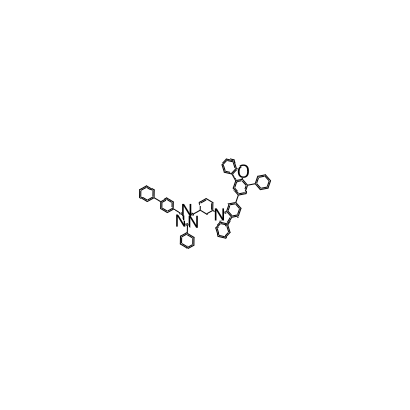 C1=CC(c2nc(-c3ccccc3)nc(-c3ccc(-c4ccccc4)cc3)n2)CC(n2c3ccccc3c3ccc(-c4cc(-c5ccccc5)c5oc6ccccc6c5c4)cc32)=C1